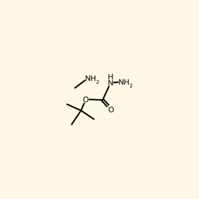 CC(C)(C)OC(=O)NN.CN